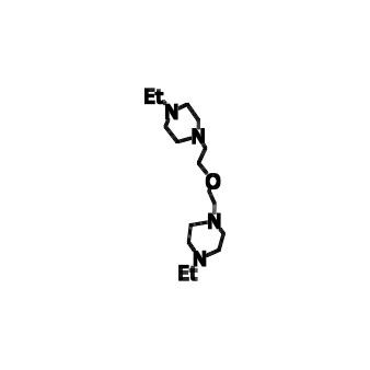 CCN1CCN(CCOCCN2CCN(CC)CC2)CC1